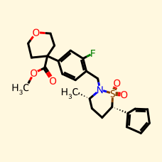 COC(=O)C1(c2ccc(CN3[C@@H](C)CC[C@@H](c4ccccc4)S3(=O)=O)c(F)c2)CCOCC1